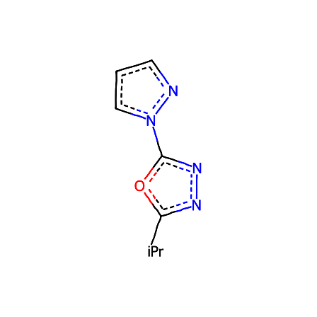 CC(C)c1nnc(-n2cccn2)o1